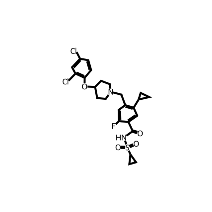 O=C(NS(=O)(=O)C1CC1)c1cc(C2CC2)c(CN2CCC(Oc3ccc(Cl)cc3Cl)CC2)cc1F